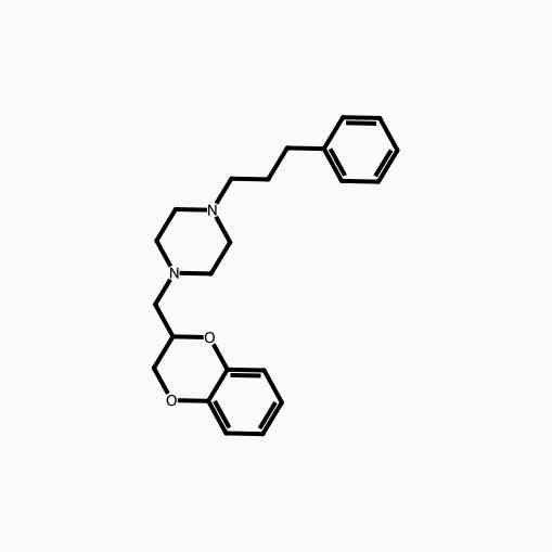 c1ccc(CCCN2CCN(CC3COc4ccccc4O3)CC2)cc1